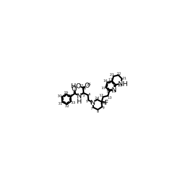 O=C(NC(CCN1CCCC(F)(CCc2ccc3c(n2)NCCC3)C1)C(=O)O)c1ccccc1